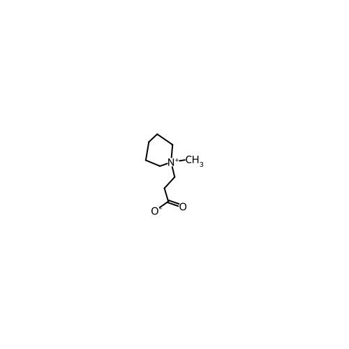 C[N+]1(CCC(=O)[O-])CCCCC1